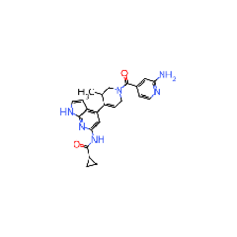 CC1CN(C(=O)c2ccnc(N)c2)CC=C1c1cc(NC(=O)C2CC2)nc2[nH]ccc12